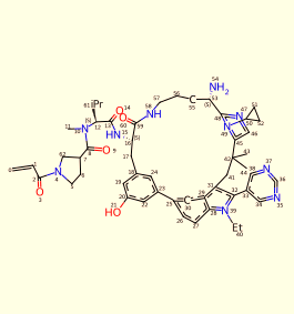 C=CC(=O)N1CCC(C(=O)N(C)[C@H](C(=O)N[C@H]2Cc3cc(O)cc(c3)-c3ccc4c(c3)c(c(-c3cncnc3)n4CC)CC(C)(C)c3cnc(n3C3CC3)[C@@H](N)CCCNC2=O)C(C)C)C1